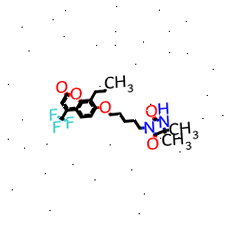 CCCc1c(OCCCCCN2C(=O)NC(C)(C)C2=O)ccc2c(C(F)(F)F)cc(=O)oc12